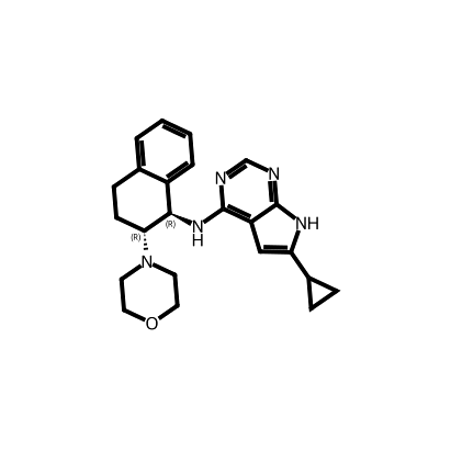 c1ccc2c(c1)CC[C@@H](N1CCOCC1)[C@@H]2Nc1ncnc2[nH]c(C3CC3)cc12